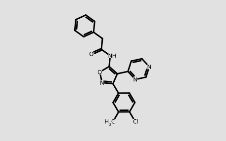 Cc1cc(-c2noc(NC(=O)Cc3ccccc3)c2-c2ccncn2)ccc1Cl